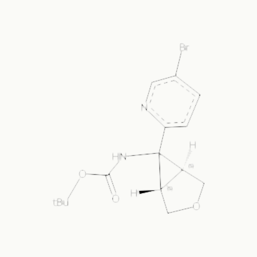 CC(C)(C)OC(=O)NC1(c2ccc(Br)cn2)[C@H]2COC[C@@H]21